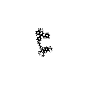 CCC1(c2ccc3c(c2)OCCO3)NC(=O)N(CCCCOc2ccc(-c3c(Cc4ccccc4)cnc4c(C)cccc34)cc2)C1=O